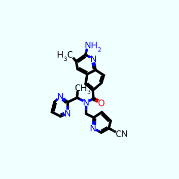 Cc1cc2cc(C(=O)N(Cc3ccc(C#N)cn3)C(C)c3ncccn3)ccc2nc1N